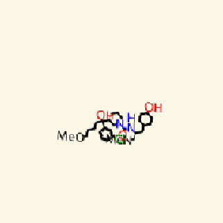 CNC[C@H](CC1CCC(O)CC1)NC(=O)N1CCC[C@@H]([C@@](O)(CCCCOC)c2cccc(Cl)c2)C1